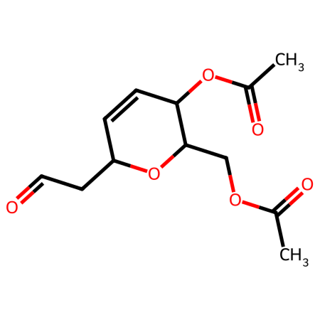 CC(=O)OCC1OC(CC=O)C=CC1OC(C)=O